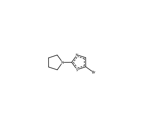 Brc1cnc(N2CCCC2)s1